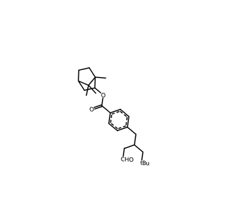 CC(C)(C)CC(CC=O)Cc1ccc(C(=O)OC2CC3CCC2(C)C3(C)C)cc1